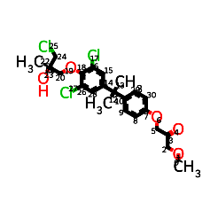 COCC(=O)COc1ccc(C(C)(C)c2cc(Cl)c(OC[C@](C)(O)CCl)c(Cl)c2)cc1